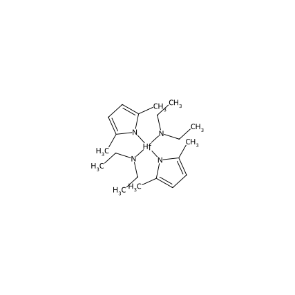 CC[N](CC)[Hf]([N](CC)CC)([n]1c(C)ccc1C)[n]1c(C)ccc1C